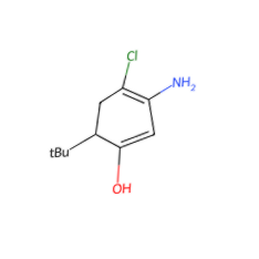 CC(C)(C)C1CC(Cl)=C(N)C=C1O